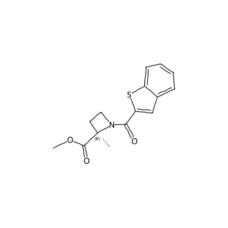 COC(=O)[C@@]1(C)CCN1C(=O)c1cc2ccccc2s1